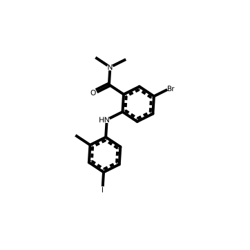 Cc1cc(I)ccc1Nc1ccc(Br)cc1C(=O)N(C)C